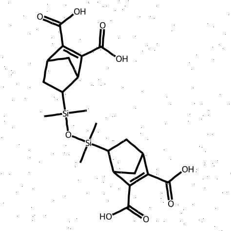 C[Si](C)(O[Si](C)(C)C1CC2CC1C(C(=O)O)=C2C(=O)O)C1CC2CC1C(C(=O)O)=C2C(=O)O